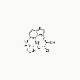 Clc1ccc2nsnc2c1NC1=NCCN1.O=C(O)C(Cl)Cl